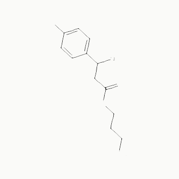 CCCCOC(=O)CC(N)c1ccc(F)cc1